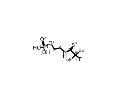 O=P(O)(O)OCCNC(=S)C(F)(F)F